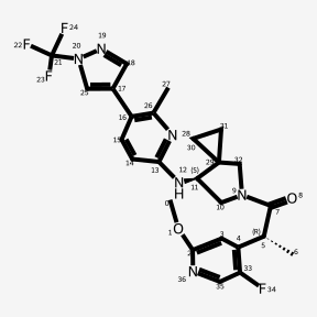 COc1cc([C@@H](C)C(=O)N2C[C@@H](Nc3ccc(-c4cnn(C(F)(F)F)c4)c(C)n3)C3(CC3)C2)c(F)cn1